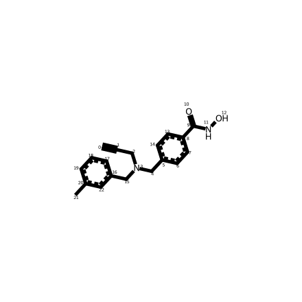 C#CCN(Cc1ccc(C(=O)NO)cc1)Cc1cccc(C)c1